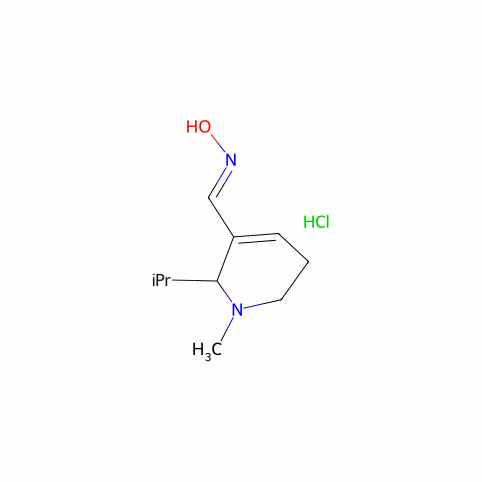 CC(C)C1C(C=NO)=CCCN1C.Cl